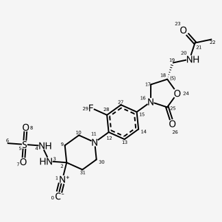 [C-]#[N+]C1(NNS(C)(=O)=O)CCN(c2ccc(N3C[C@H](CNC(C)=O)OC3=O)cc2F)CC1